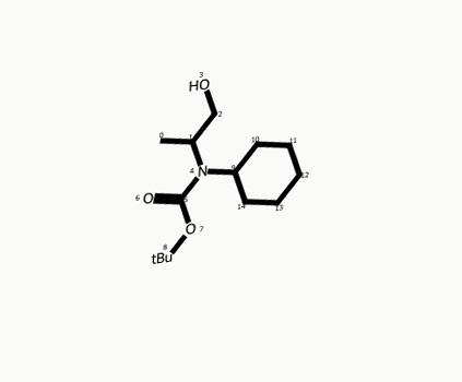 CC(CO)N(C(=O)OC(C)(C)C)C1CCCCC1